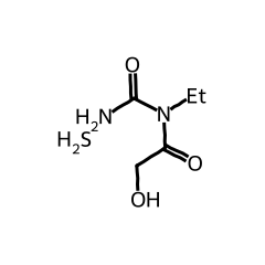 CCN(C(N)=O)C(=O)CO.S